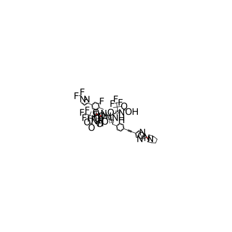 COC(=O)N[C@H](C(=O)NN(Cc1c(F)cc(-c2ccn(C(F)F)n2)cc1F)C[C@H](OP(=O)(O)O)[C@H](Cc1ccc(C#Cc2cnc(N3CC4CCC(C3)N4C3COC3)nc2)cc1)NC(=O)[C@@H](NC(=O)O)C(C)(C)C(F)(F)F)C(C)(C)C(F)(F)F